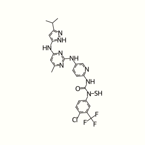 Cc1cc(Nc2cc(C(C)C)n[nH]2)nc(Nc2ccc(NC(=O)N(S)c3ccc(Cl)c(C(F)(F)F)c3)nc2)n1